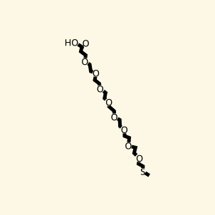 CSCCOCCOCCOCCOCCOCCOCCOCCOCCC(=O)O